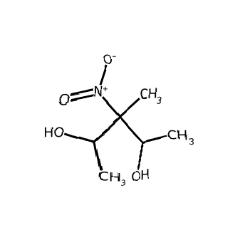 CC(O)C(C)(C(C)O)[N+](=O)[O-]